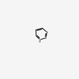 b1b[siH]ccc1